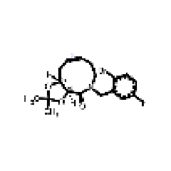 CC1(C)O[C@@H]2C(=O)N(Cc3cc(F)ccc3Br)CC/C=C\C[C@H]2O1